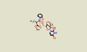 CC[C@@]1(O)[C@H](O)[C@@H](COP(=S)(NC(C)C(=O)OC(C)C)Oc2ccccc2)O[C@H]1n1ccc(=O)[nH]c1=O